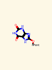 CCCCCOc1nc2[nH]c(=O)[nH]c(=O)c2[nH]1